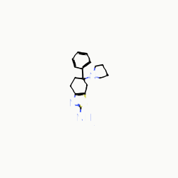 Nc1nc2c(s1)CC(c1ccccc1)(N1CCCC1)CC2